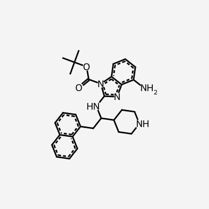 CC(C)(C)OC(=O)n1c(NC(Cc2cccc3ccccc23)C2CCNCC2)nc2c(N)cccc21